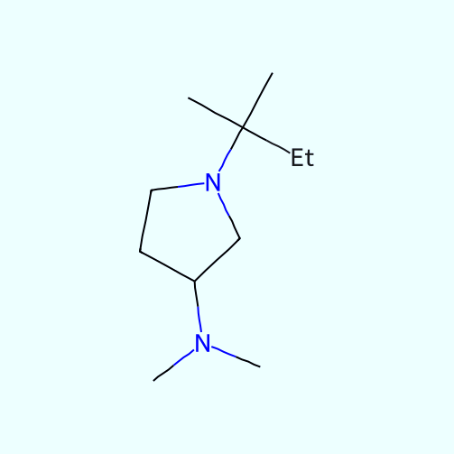 CCC(C)(C)N1CCC(N(C)C)C1